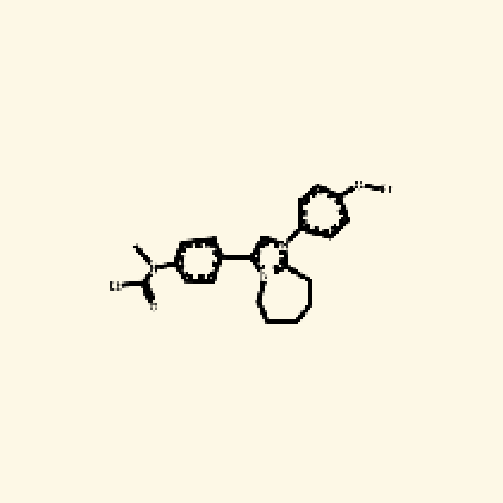 CCOc1ccc(-n2cc(-c3ccc(N(C)C(=O)CC)cc3)[n+]3c2CCCCC3)cc1